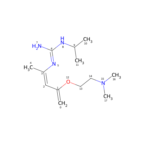 C=C(/C=C(C)\N=C(/N)NC(C)C)OCCN(C)C